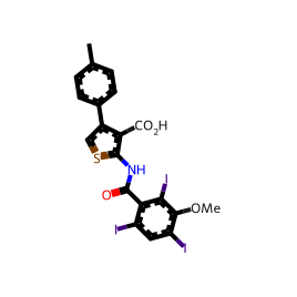 COc1c(I)cc(I)c(C(=O)Nc2scc(-c3ccc(C)cc3)c2C(=O)O)c1I